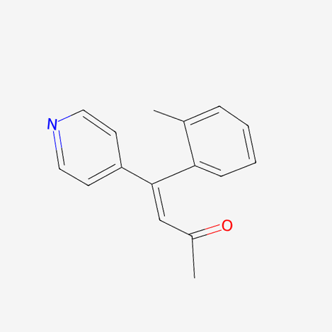 CC(=O)/C=C(/c1ccncc1)c1ccccc1C